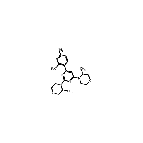 C[C@H]1COCCN1c1cc(-c2cnc(N)nc2C(F)(F)F)nc(N2CCOC[C@@H]2C)n1